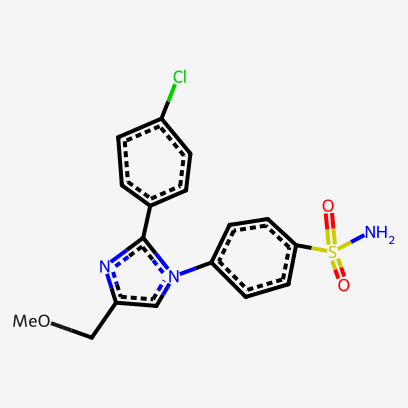 COCc1cn(-c2ccc(S(N)(=O)=O)cc2)c(-c2ccc(Cl)cc2)n1